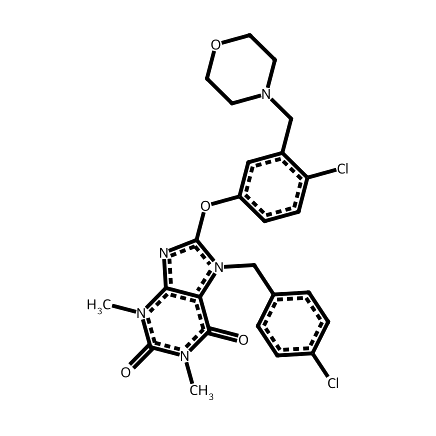 Cn1c(=O)c2c(nc(Oc3ccc(Cl)c(CN4CCOCC4)c3)n2Cc2ccc(Cl)cc2)n(C)c1=O